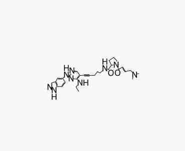 CCNc1nc(Nc2ccc3[nH]ncc3c2)ncc1C#CCCCNC(=O)C1CCCN1C(=O)C=CCN(C)C